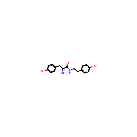 N[C@@H](Cc1ccc(O)cc1)C(=O)NCCc1ccc(O)cc1